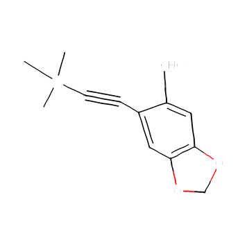 C[Si](C)(C)C#Cc1cc2c(cc1C=O)OCO2